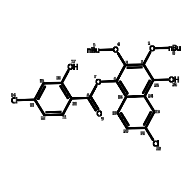 CCCCOc1c(OCCCC)c(OC(=O)c2ccc(Cl)cc2O)c2ccc(Cl)cc2c1O